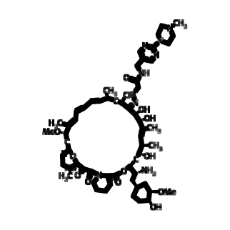 CO[C@H]1C[C@@H]2CC[C@@H](C)[C@@](O)(O2)C(=O)C(=O)N2CCCC[C@H]2C(=O)O[C@H]([C@H](N)C[C@@H]2CC[C@@H](O)[C@H](OC)C2)C[C@@H](O)[C@H](C)/C=C(\C)[C@@H](O)[C@@H](O)/C(=N/OCC(=O)NCc2cnc(N3CCN(C)CC3)nc2)[C@H](C)C[C@H](C)/C=C/C=C/C=C/1C